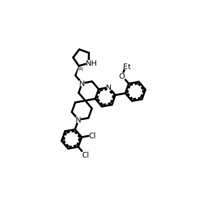 CCOc1ccccc1-c1ccc2c(n1)CN(C[C@H]1CCCN1)CC21CCN(c2cccc(Cl)c2Cl)CC1